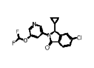 O=C1c2ccc(Cl)cc2C(C2CC2)N1c1cncc(OC(F)F)c1